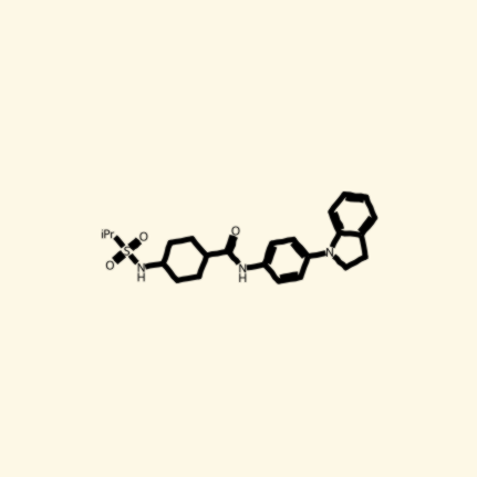 CC(C)S(=O)(=O)NC1CCC(C(=O)Nc2ccc(N3CCc4ccccc43)cc2)CC1